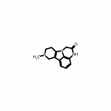 CN1CCc2c(c3cccc4c3n2CC(=O)N4)C1